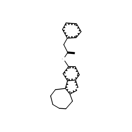 O=C(Cc1ccccc1)Nc1ccc2oc3c(c2c1)CCCCCC3